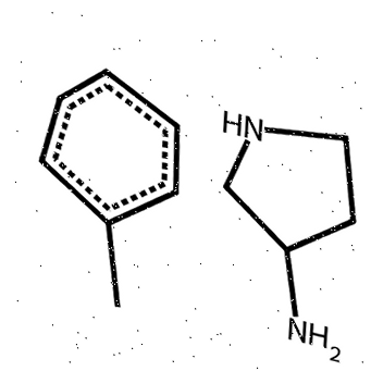 Cc1ccccc1.NC1CCNC1